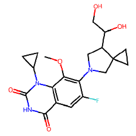 COc1c(N2CC(C(O)CO)C3(CC3)C2)c(F)cc2c(=O)[nH]c(=O)n(C3CC3)c12